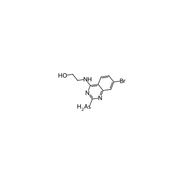 OCCNc1nc([AsH2])nc2cc(Br)ccc12